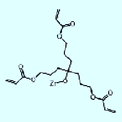 C=CC(=O)OCCCC(CCCOC(=O)C=C)(CCCOC(=O)C=C)[O][Zr]